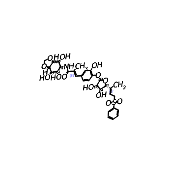 C/C(=C\c1ccc(O[C@@H]2O[C@H](/C(C)=C/CS(=O)(=O)c3ccccc3)[C@@H](O)[C@@H]2O)c(O)c1)C(=O)N[C@@H]1[C@H](O)[C@@H](O)[C@H]2OCO[C@H]2[C@@H]1O